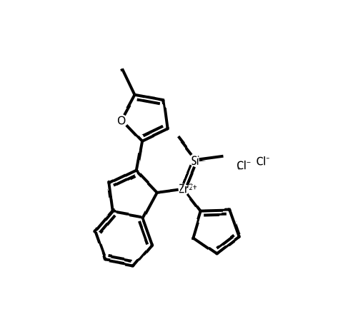 Cc1ccc(C2=Cc3ccccc3[CH]2[Zr+2]([C]2=CC=CC2)=[Si](C)C)o1.[Cl-].[Cl-]